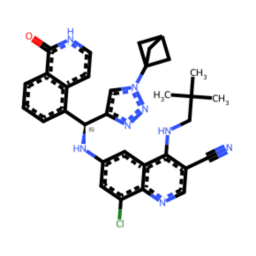 CC(C)(C)CNc1c(C#N)cnc2c(Cl)cc(N[C@H](c3cn(C45CC(C4)C5)nn3)c3cccc4c(=O)[nH]ccc34)cc12